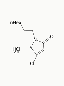 CCCCCCCCn1sc(Cl)cc1=O.Cl.[Zn]